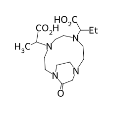 CCC(C(=O)O)N1CCN2CCN(CCN(C(C)C(=O)O)CC1)C(=O)C2